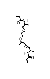 CCC(=O)NC(C)COCCOC(C)COCC(C)NC(=O)CC